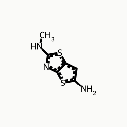 CNc1nc2sc(N)cc2s1